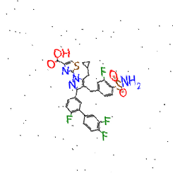 NS(=O)(=O)c1ccc(Cc2c(-c3ccc(F)c(-c4ccc(F)c(F)c4)c3)nn(-c3nc(C(=O)O)cs3)c2CC2CC2)cc1F